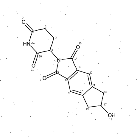 O=C1CCC(N2C(=O)c3cc4c(cc3C2=O)CC(O)C4)C(=O)N1